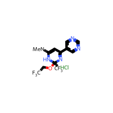 CNC1=CC(c2cncnc2)=NC(OCC(F)(F)F)(C(F)(F)F)N1.Cl